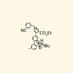 CCOC(=O)c1cn(Cc2cccc(C#N)c2)cc1-c1ccc(-c2cc(C)ccc2S(=O)(=O)NC(C)(C)C)cc1